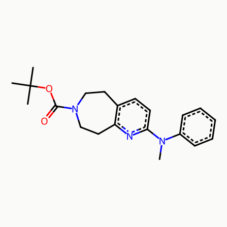 CN(c1ccccc1)c1ccc2c(n1)CCN(C(=O)OC(C)(C)C)CC2